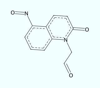 O=CCn1c(=O)ccc2c(N=O)cccc21